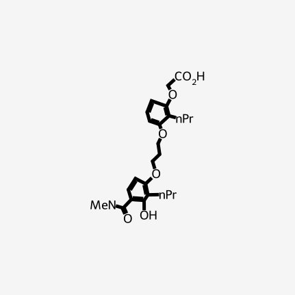 CCCc1c(OCCCOc2ccc(C(=O)NC)c(O)c2CCC)cccc1OCC(=O)O